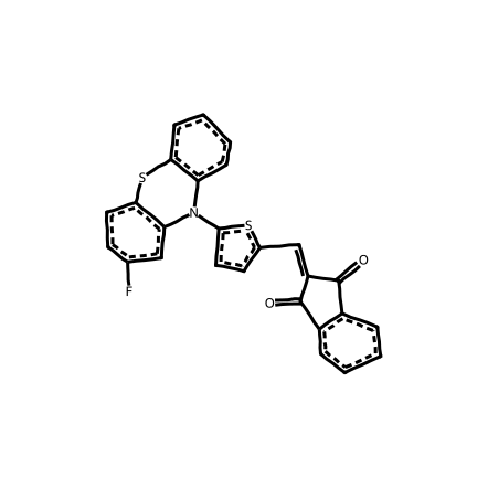 O=C1C(=Cc2ccc(N3c4ccccc4Sc4ccc(F)cc43)s2)C(=O)c2ccccc21